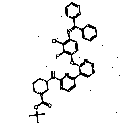 CC(C)(C)OC(=O)N1CCC[C@H](Nc2nccc(-c3cccnc3Oc3ccc(N=C(c4ccccc4)c4ccccc4)c(Cl)c3F)n2)C1